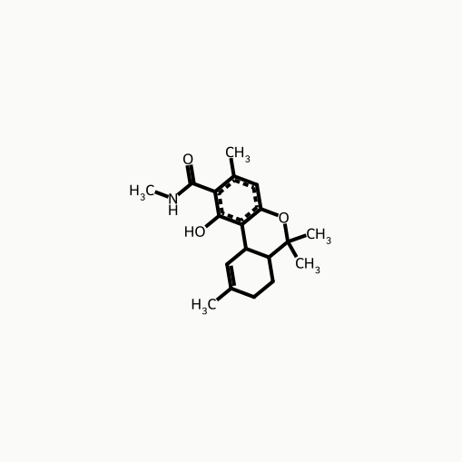 CNC(=O)c1c(C)cc2c(c1O)C1C=C(C)CCC1C(C)(C)O2